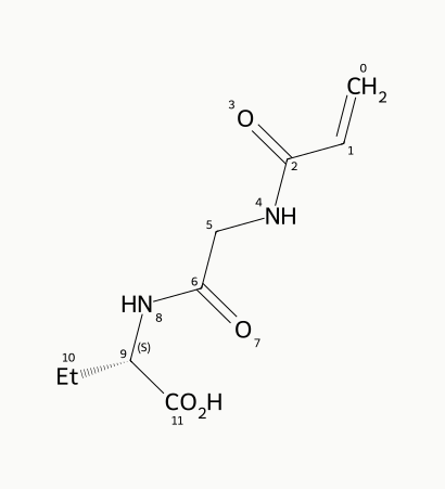 C=CC(=O)NCC(=O)N[C@@H](CC)C(=O)O